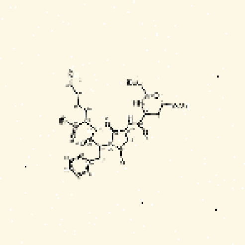 CSCCC(NC(=O)OCC(C)C)C(=O)NC1CC(C)N(C(Cc2ccccc2)C(=O)NC(CCCCN)C(=O)C(C)C)C1=O